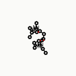 c1ccc(-c2ccc(-c3nc(-c4ccccc4)nc(-n4c5ccccc5c5cccc(-c6ccc(-c7cccc(-c8cccc(-c9ccc(-c%10nc(-c%11ccccc%11)nc(-n%11c%12ccccc%12c%12cc(-c%13ccccc%13)cc(-c%13ccccc%13)c%12%11)n%10)cc9)c8)c7)cc6)c54)n3)cc2)cc1